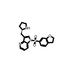 O=S(=O)(c1ccc2c(c1)OCC2)n1cc(C[C@H]2CCCN2)c2ncccc21